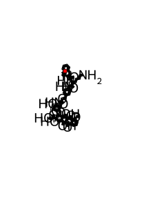 COc1cccc2c1C(=O)c1c(O)c3c(c(O)c1C2=O)C[C@](O)(C(=O)CO)C[C@H]3OC1C[C@@H](NC(=O)OCc2ccc(NC(=O)C(CCCCN)NC(=O)C(Cc3ccccc3)NC(C)(C)C)cc2)[C@@H](O)[C@@H](C)O1